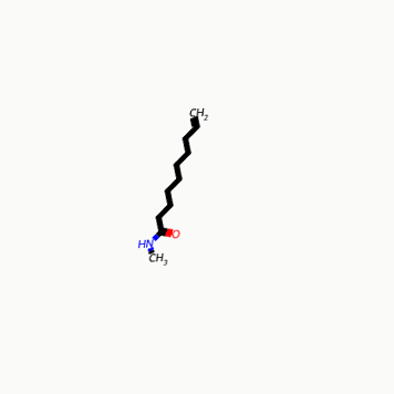 C=CCCCCCCCC(=O)NC